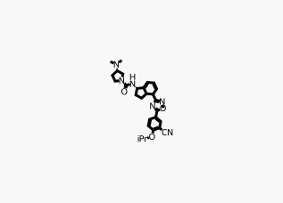 CC(C)Oc1ccc(-c2nc(C3C=CC=C4C3CC[C@@H]4NC(=O)N3CC[C@H](N(C)C)C3)no2)cc1C#N